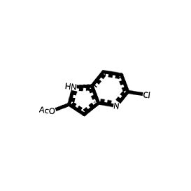 CC(=O)Oc1cc2nc(Cl)ccc2[nH]1